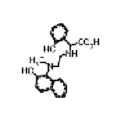 CN(CCNC(C(=O)O)c1ccccc1O)c1c(O)ccc2ccccc12